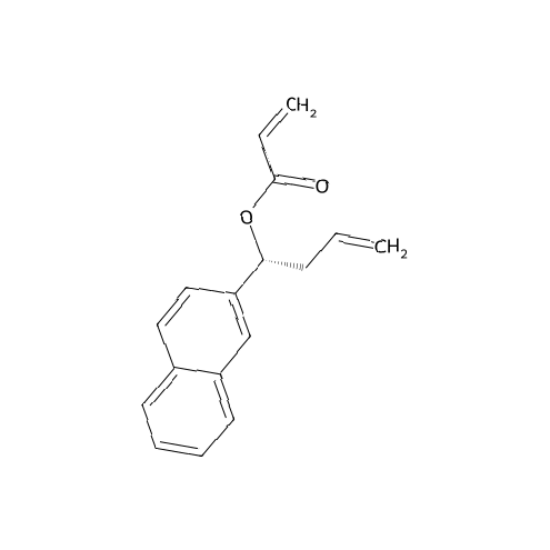 C=CC[C@@H](OC(=O)C=C)c1ccc2ccccc2c1